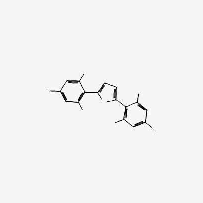 Cc1cc(N)cc(C)c1-c1ccc(-c2c(C)cc(N)cc2C)o1